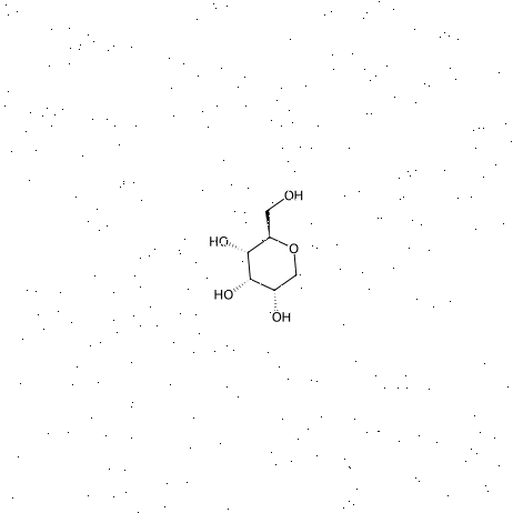 OC[C@H]1O[CH][C@H](O)[C@H](O)[C@@H]1O